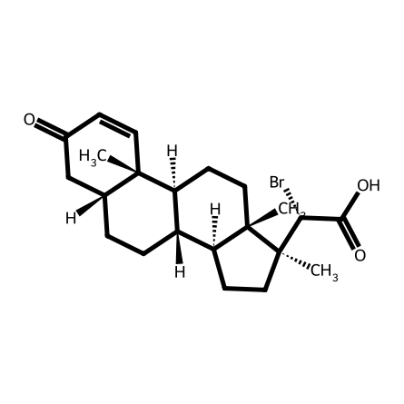 C[C@]12C=CC(=O)C[C@H]1CC[C@@H]1[C@@H]2CC[C@@]2(C)[C@H]1CC[C@]2(C)[C@H](Br)C(=O)O